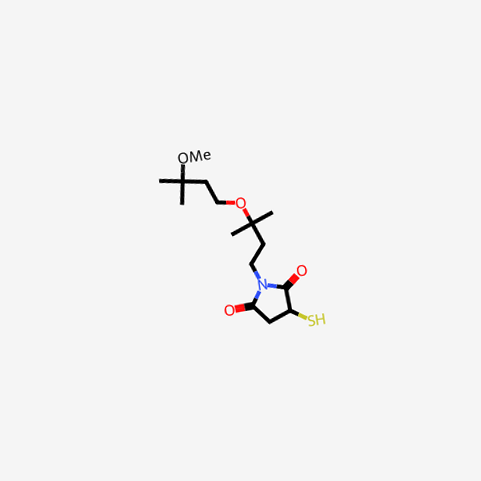 COC(C)(C)CCOC(C)(C)CCN1C(=O)CC(S)C1=O